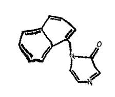 O=c1cnccn1-c1cccc2ccccc12